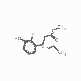 CCC[C@@H](CC(=O)OC)c1cccc(O)c1F